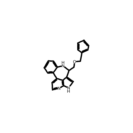 c1ccc(COCC2Nc3ccccc3-c3ccnc4[nH]cc2c34)cc1